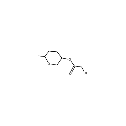 CC1CCC(OC(=O)CO)CO1